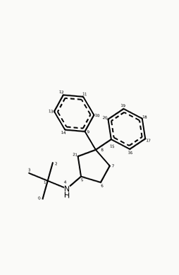 CC(C)(C)NC1CCC(c2ccccc2)(c2ccccc2)C1